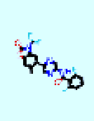 Cc1cc2oc(=O)n(C(F)F)c2cc1-c1cnc(NC(=O)c2c(F)cccc2F)cn1